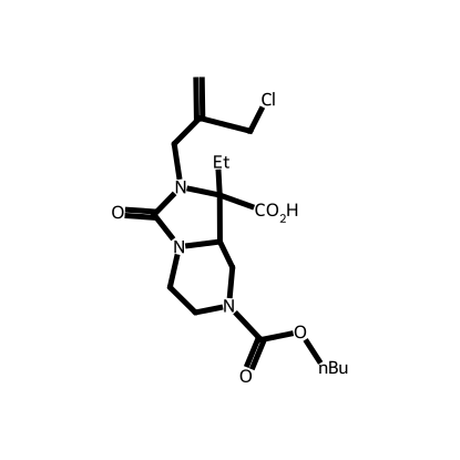 C=C(CCl)CN1C(=O)N2CCN(C(=O)OCCCC)CC2C1(CC)C(=O)O